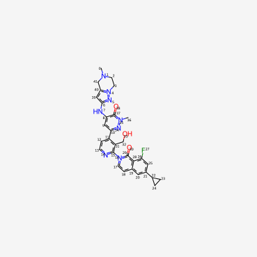 CN1CCn2nc(Nc3cc(-c4ccnc(-n5ccc6cc(C7CC7)cc(F)c6c5=O)c4CO)nn(C)c3=O)cc2C1